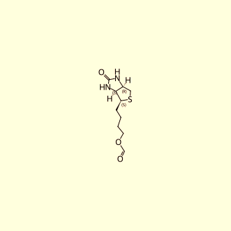 O=COCCCC[C@@H]1SC[C@@H]2NC(=O)N[C@@H]21